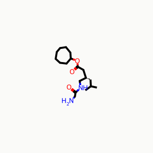 CC(C)C[C@H](CNC(=O)CN)CC(=O)OC1CCCCCCC1